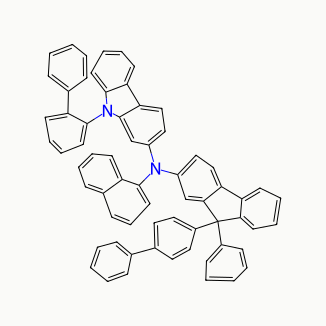 c1ccc(-c2ccc(C3(c4ccccc4)c4ccccc4-c4ccc(N(c5ccc6c7ccccc7n(-c7ccccc7-c7ccccc7)c6c5)c5cccc6ccccc56)cc43)cc2)cc1